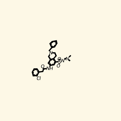 CN(C)/C=N/S(=O)(=O)c1cc(NC(=O)Cc2ccccc2Cl)cc2c1CCN(Cc1ccccc1)C2